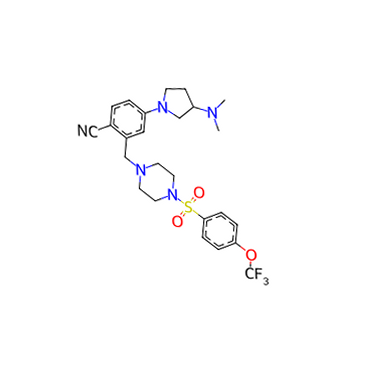 CN(C)C1CCN(c2ccc(C#N)c(CN3CCN(S(=O)(=O)c4ccc(OC(F)(F)F)cc4)CC3)c2)C1